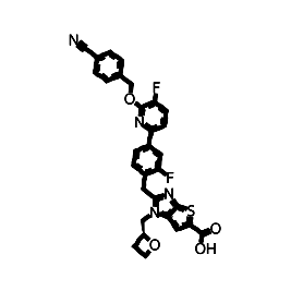 N#Cc1ccc(COc2nc(-c3ccc(Cc4nc5sc(C(=O)O)cc5n4C[C@@H]4CCO4)c(F)c3)ccc2F)cc1